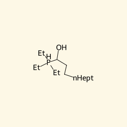 CCCCCCCCCC(O)[PH](CC)(CC)CC